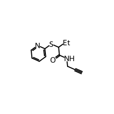 C#CCNC(=O)C(CC)Sc1ccccn1